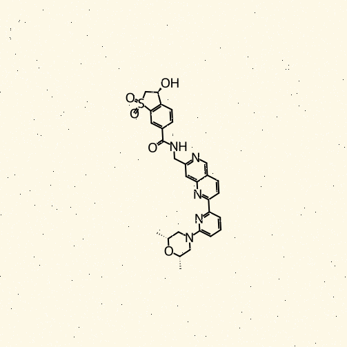 C[C@@H]1CN(c2cccc(-c3ccc4cnc(CNC(=O)c5ccc6c(c5)S(=O)(=O)C[C@H]6O)cc4n3)n2)C[C@H](C)O1